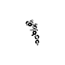 CCc1cc(Nc2ncc(Br)c(Nc3ccc4nccnc4c3P(C)(C)=O)n2)c(OC)cc1N1CCCN(C2CCN(C)CC2)CC1